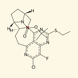 CCSc1nc2c3c(nc(Cl)c(F)c3n1)CC[C@H]1[C@@H]3CC[C@H](CN21)N3C(=O)OC(C)(C)C